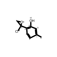 Cc1ccc(C2(Cl)CO2)c(O)c1